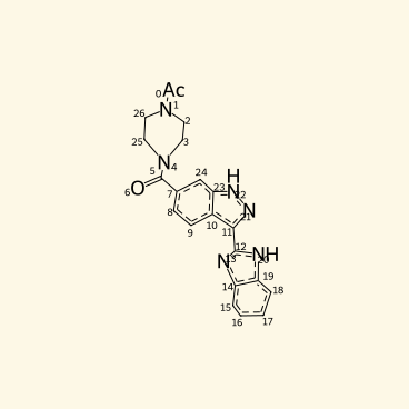 CC(=O)N1CCN(C(=O)c2ccc3c(-c4nc5ccccc5[nH]4)n[nH]c3c2)CC1